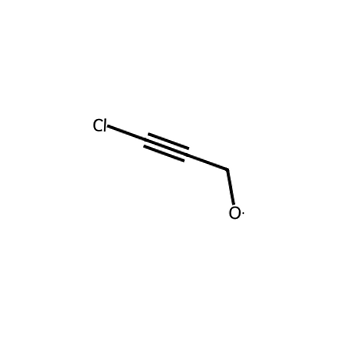 [O]CC#CCl